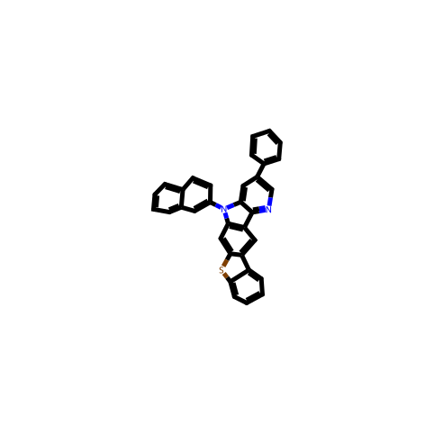 c1ccc(-c2cnc3c4cc5c(cc4n(-c4ccc6ccccc6c4)c3c2)sc2ccccc25)cc1